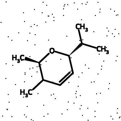 CC(C)[C@@H]1C=CC(C)[C@@H](C)O1